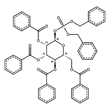 O=C(OC[C@H]1O[C@H](OP(=O)(OCc2ccccc2)OCc2ccccc2)[C@@H](OC(=O)c2ccccc2)[C@@H](OC(=O)c2ccccc2)[C@@H]1OC(=O)c1ccccc1)c1ccccc1